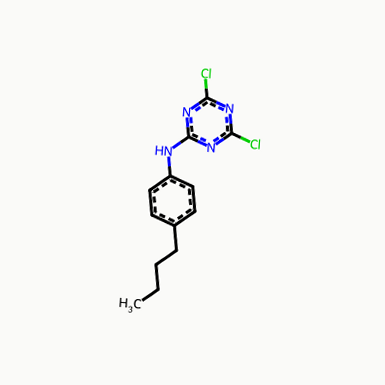 CCCCc1ccc(Nc2nc(Cl)nc(Cl)n2)cc1